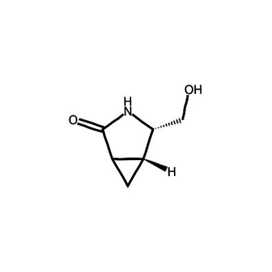 O=C1N[C@H](CO)[C@@H]2CC12